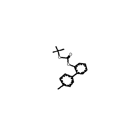 Cc1ccc(-c2ccccc2OC(=O)OC(C)(C)C)cc1